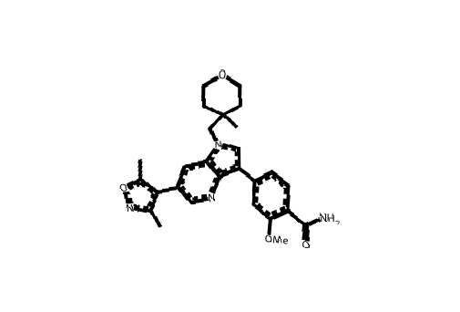 COc1cc(-c2cn(CC3(C)CCOCC3)c3cc(-c4c(C)noc4C)cnc23)ccc1C(N)=O